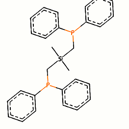 C[Si](C)(CP(c1ccccc1)c1ccccc1)CP(c1ccccc1)c1ccccc1